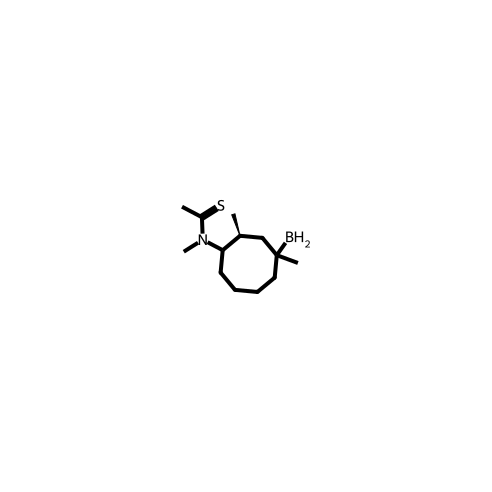 BC1(C)CCCCC(N(C)C(C)=S)[C@@H](C)C1